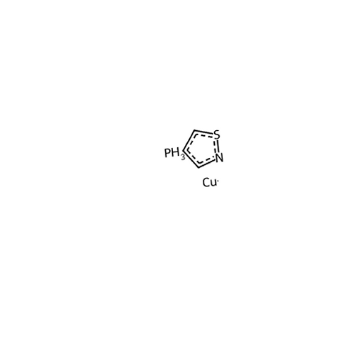 P.[Cu].c1cnsc1